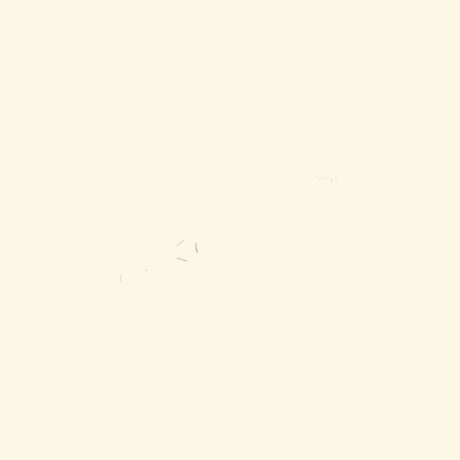 CCCCC[SiH]1CCC(C2CCC(CCCCc3ccc(OCC(F)(F)C(F)(F)F)c(F)c3)CC2)CC1